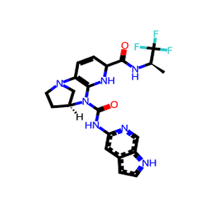 C[C@@H](NC(=O)C1C=CC2=C(N1)N(C(=O)Nc1cc3cc[nH]c3cn1)[C@H]1CCN2C1)C(F)(F)F